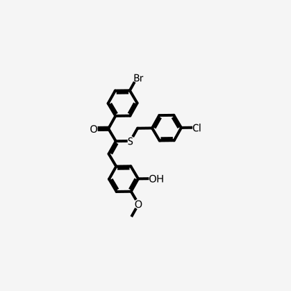 COc1ccc(C=C(SCc2ccc(Cl)cc2)C(=O)c2ccc(Br)cc2)cc1O